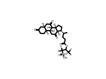 CC(CCC(=O)OC(C(F)(F)F)C(F)(F)S(=O)(=O)O)[C@@H]1CC[C@H]2[C@H]3C(=O)C[C@H]4CC(=O)CC[C@H]4[C@H]3CC(=O)[C@H]21